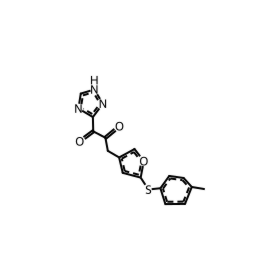 Cc1ccc(Sc2cc(CC(=O)C(=O)c3nc[nH]n3)co2)cc1